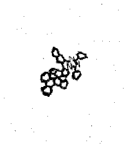 C1=CC2c3c(-c4cc5ccccc5cc4-c4nc(C5=CCCC=C5)nc(-c5ccccc5)n4)cccc3C3(c4ccccc4-c4c3c3ccccc3c3ccccc43)C2C=C1